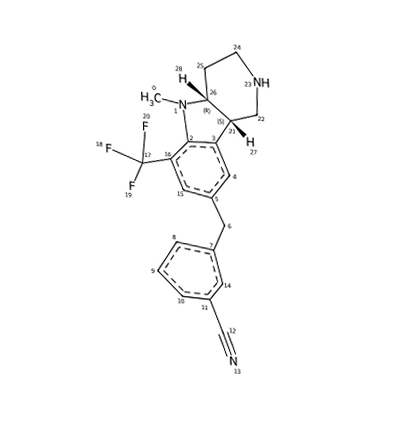 CN1c2c(cc(Cc3cccc(C#N)c3)cc2C(F)(F)F)[C@H]2CNCC[C@H]21